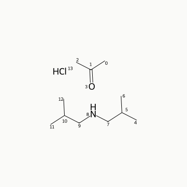 CC(C)=O.CC(C)CNCC(C)C.Cl